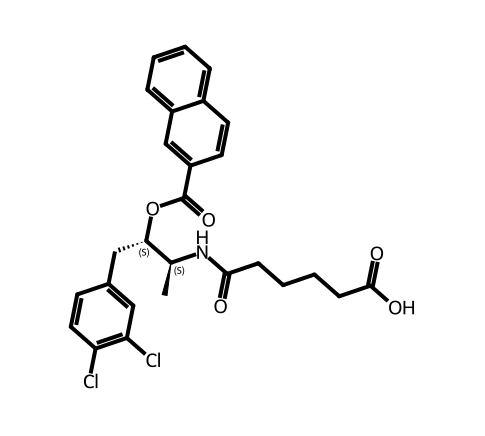 C[C@H](NC(=O)CCCCC(=O)O)[C@H](Cc1ccc(Cl)c(Cl)c1)OC(=O)c1ccc2ccccc2c1